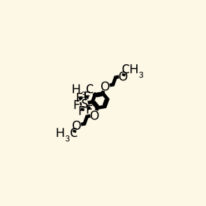 COCCOc1ccc(OCCOC)c(S(F)(F)(F)(F)F)c1C